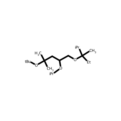 CCC(C)(OCC(CC(C)(C)OC(C)(C)C)OC(C)C)C(C)C